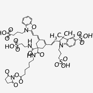 CC1(C)C(/C=C/C2=CC(=C/C=C3\Oc4ccccc4N3CCCS(=O)(=O)O)/CC(C(=O)NCCCCCC(=O)ON3C(=O)CCC3=O)(C(=O)NCCS(=O)(=O)O)C2)=[N+](CCCS(=O)(=O)O)c2ccc(S(=O)(=O)O)cc21